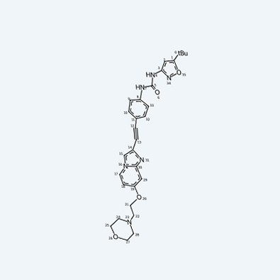 CC(C)(C)c1cc(NC(=O)Nc2ccc(C#Cc3cn4ccc(OCCN5CCOCC5)cc4n3)cc2)no1